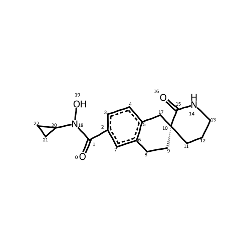 O=C(c1ccc2c(c1)CC[C@]1(CCCNC1=O)C2)N(O)C1CC1